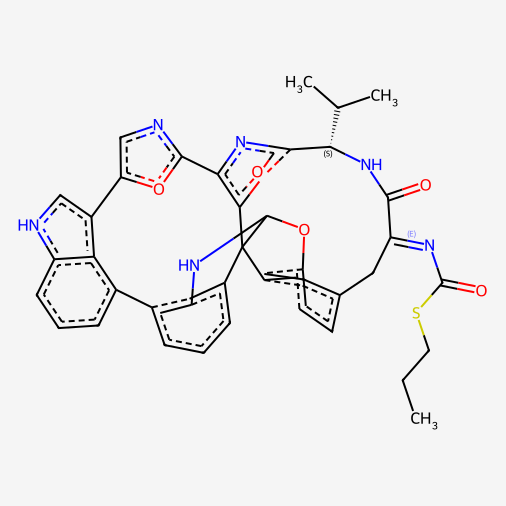 CCCSC(=O)/N=C1\Cc2ccc3c(c2)C24c5cccc(c5NC2O3)-c2cccc3[nH]cc(c23)-c2cnc(o2)-c2nc(oc24)[C@H](C(C)C)NC1=O